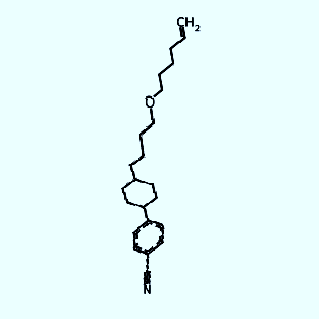 C=CCCCCOCCCCC1CCC(c2ccc(C#N)cc2)CC1